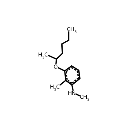 CCCCC(C)Oc1cccc(NC)c1C